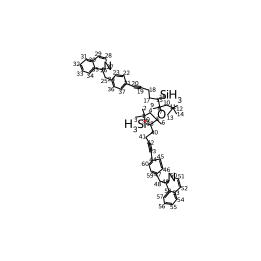 CC(C)(C)CC(C)(OC(C)(CC(C)(C)C)C([SiH3])CCC#Cc1ccc(Cc2nccc3ccccc23)cc1)C([SiH3])CCC#Cc1ccc(Cc2nccc3ccccc23)cc1